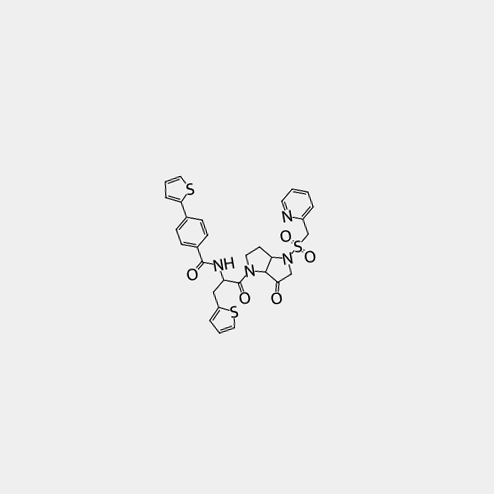 O=C(NC(Cc1cccs1)C(=O)N1CCC2C1C(=O)CN2S(=O)(=O)Cc1ccccn1)c1ccc(-c2cccs2)cc1